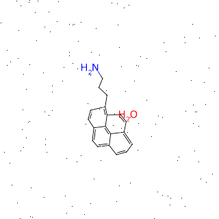 NCCCc1ccc2ccc3cccc4ccc1c2c34.O